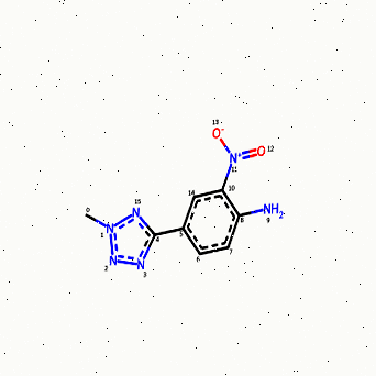 Cn1nnc(-c2ccc(N)c([N+](=O)[O-])c2)n1